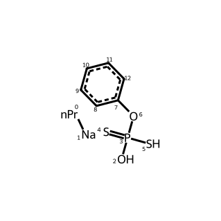 CC[CH2][Na].OP(=S)(S)Oc1ccccc1